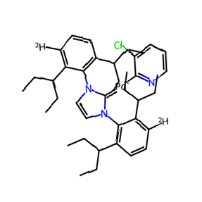 [2H]c1ccc(C(CC)CC)c(-n2ccn(-c3c(C(CC)CC)ccc([2H])c3C(CC)CC)[c]2=[Pd-][c]2ncccc2Cl)c1C(CC)CC